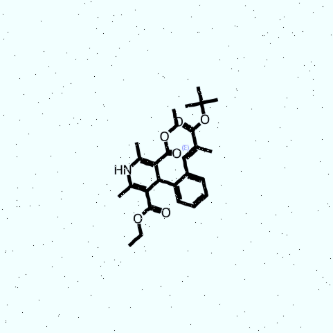 CCOC(=O)C1=C(C)NC(C)=C(C(=O)OCC)C1c1ccccc1/C=C(\C)C(=O)OC(C)(C)C